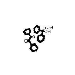 O=C(C(=O)c1ccccc1)c1ccccc1.O=C(O)C(O)(c1ccccc1)c1ccccc1